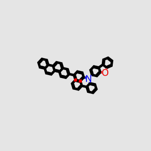 c1ccc(-c2ccccc2N(c2ccc(-c3ccc4c(ccc5c6ccccc6ccc45)c3)cc2)c2ccc3c(c2)oc2ccccc23)cc1